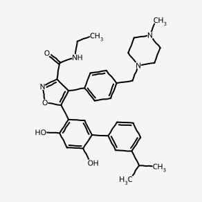 CCNC(=O)c1noc(-c2cc(-c3cccc(C(C)C)c3)c(O)cc2O)c1-c1ccc(CN2CCN(C)CC2)cc1